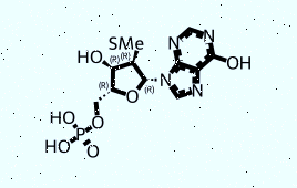 CS[C@@H]1[C@H](O)[C@@H](COP(=O)(O)O)O[C@H]1n1cnc2c(O)ncnc21